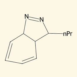 CCCC1N=NC2C=CC=CC21